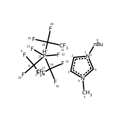 CCCC[n+]1ccn(C)c1.FC(F)(F)C(F)(F)[PH-](F)(F)(C(F)(F)C(F)(F)F)C(F)(F)C(F)(F)F